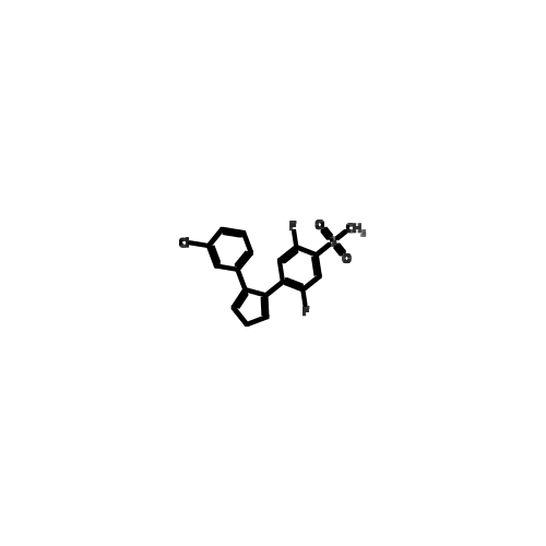 CS(=O)(=O)c1cc(F)c(C2=CCC=C2c2cccc(Cl)c2)cc1F